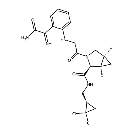 N=C(C(N)=O)c1ccccc1NCC(=O)N1C[C@H]2C[C@H]2[C@H]1C(=O)NC[C@H]1CC1(Cl)Cl